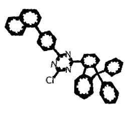 Clc1nc(-c2ccc(-c3cccc4ccccc34)cc2)nc(-c2cccc3c2-c2ccccc2C3(c2ccccc2)c2ccccc2)n1